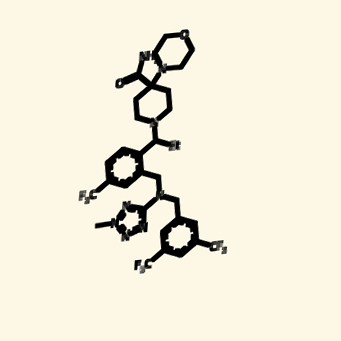 CCC(c1ccc(C(F)(F)F)cc1CN(Cc1cc(C(F)(F)F)cc(C(F)(F)F)c1)c1nnn(C)n1)N1CCC(C(N)=O)(N2CCOCC2)CC1